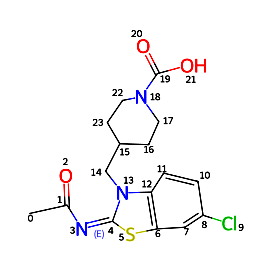 CC(=O)/N=c1/sc2cc(Cl)ccc2n1CC1CCN(C(=O)O)CC1